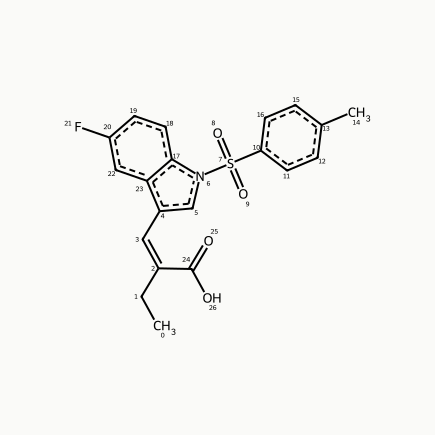 CCC(=Cc1cn(S(=O)(=O)c2ccc(C)cc2)c2ccc(F)cc12)C(=O)O